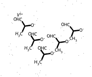 CC([O-])C=O.CC([O-])C=O.CC([O-])C=O.CC([O-])C=O.CC([O-])C=O.[V+5]